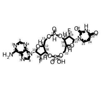 Nc1ncnc2c1ncn2[C@@H]1O[C@@H]2CO[PH](=O)O[C@H]3[C@@H](F)[C@H](n4ccc(=O)[nH]c4=O)O[C@@H]3COP(=O)(O)O[C@H]2[C@H]1F